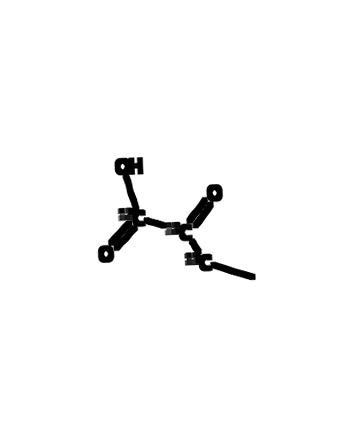 C[13CH2][13C](=O)[13C](=O)O